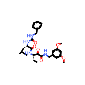 CC[C@H](NC(=O)[C@H](CC(C)C)NC(=O)NCc1ccccc1)C(=O)C(=O)NCc1cc(OC)cc(OC)c1